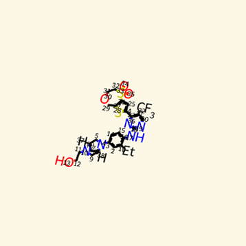 CCc1cc(N2C[C@@H]3C[C@H]2CN3CCO)ccc1Nc1ncc(C(F)(F)F)c(-c2cc3c(s2)COCCS3(=O)=O)n1